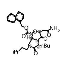 CCCC[C@H]1C(=O)N(CCC(C)C)C[C@@H]2N(C(=O)OCc3cccc4ccccc34)O[C@@H](CC(N)=O)C(=O)N21